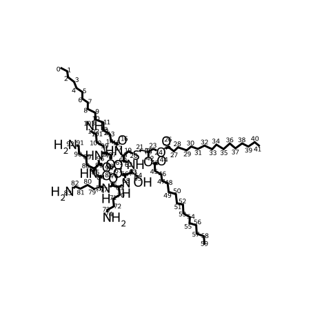 CCCCCCCCCCCCCCCC(=O)NC(CSC[C@@H](COC(=O)CCCCCCCCCCCCCCC)OC(=O)CCCCCCCCCCCCCCC)C(=O)N[C@@H](CO)C(=O)NC(CCCCN)C(=O)N[C@@H](CCCCN)C(=O)NC(CCCCN)C(=O)N[C@H](C=O)CCCCN